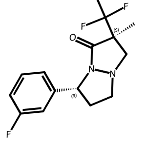 CC(F)(F)[C@@]1(C)CN2CC[C@H](c3cccc(F)c3)N2C1=O